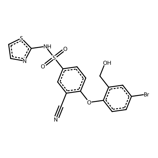 N#Cc1cc(S(=O)(=O)Nc2nccs2)ccc1Oc1ccc(Br)cc1CO